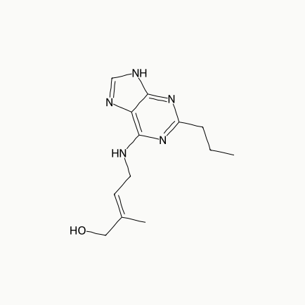 CCCc1nc(NC/C=C(\C)CO)c2nc[nH]c2n1